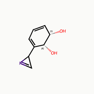 O[C@@H]1C(C2C=I2)=CC=C[C@@H]1O